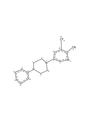 N#Cc1ncc(N2CCC(c3cc[c]cc3)CC2)cc1C(F)(F)F